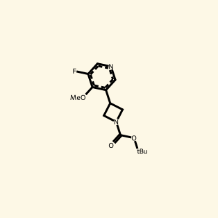 COc1c(F)cncc1C1CN(C(=O)OC(C)(C)C)C1